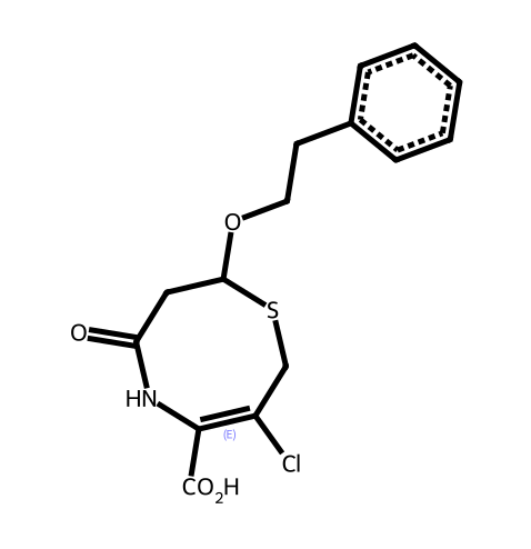 O=C1CC(OCCc2ccccc2)SC/C(Cl)=C(/C(=O)O)N1